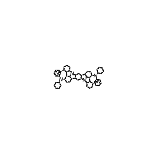 N#Cc1cccc2c1c1c(N(c3ccccc3)c3ccccc3)ccc3c4cc5c(cc4n2c31)c1ccc(N(c2ccccc2)c2ccccc2)c2c3c(C#N)cccc3n5c12